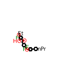 CCCC1CCC(c2ccc(OC(F)(F)C3CCC(CC(=O)c4ccc(OCC)c(F)c4O)CC3)cc2)CC1